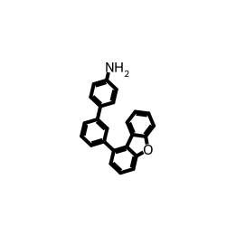 Nc1ccc(-c2cccc(-c3cccc4oc5ccccc5c34)c2)cc1